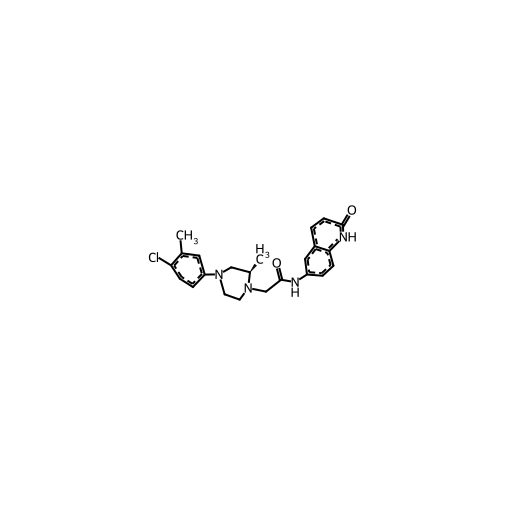 Cc1cc(N2CCN(CC(=O)Nc3ccc4[nH]c(=O)ccc4c3)[C@H](C)C2)ccc1Cl